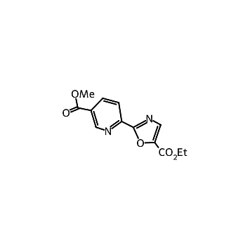 CCOC(=O)c1cnc(-c2ccc(C(=O)OC)cn2)o1